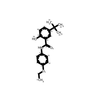 CCOc1ccc(NC(=O)c2cc(C(C)(C)C)ccc2O)cc1